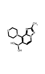 Cc1nc2c(N3CCOCC3)c(B(O)O)ccn2n1